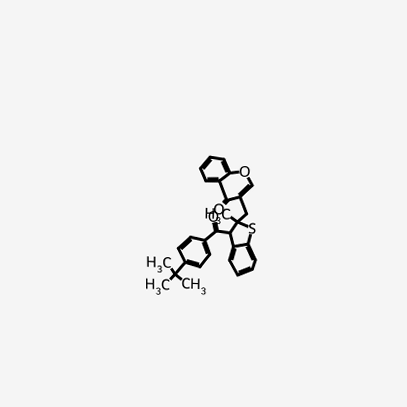 CC(C)(C)c1ccc(C(=O)C2c3ccccc3SC2(C)Cc2coc3ccccc3c2=O)cc1